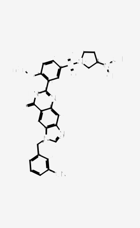 CCCOc1ccc(S(=O)(=O)N2CCC(N(C)C)C2)cc1-c1nc2cc3ncn(Cc4cccc(C#N)c4)c3cc2c(=O)[nH]1